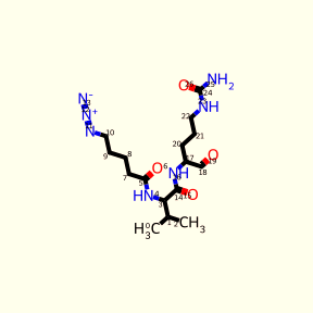 CC(C)C(NC(=O)CCCCN=[N+]=[N-])C(=O)NC(C=O)CCCNC(N)=O